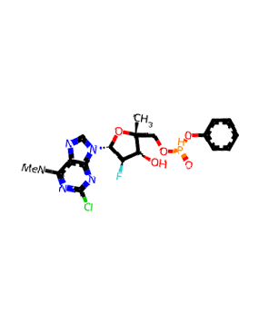 CNc1nc(Cl)nc2c1ncn2[C@@H]1O[C@](C)(CO[PH](=O)Oc2ccccc2)[C@@H](O)[C@H]1F